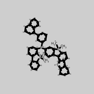 CS1(C)c2cc(N(c3cccc(-c4cccc5ccccc45)c3)c3cccc4c3S(C)(C)c3ccccc3-4)ccc2-c2c1ccc1c2sc2ccccc21